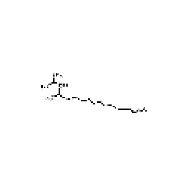 CCCCCCCCCCCCC(C)NC(C)O